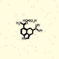 CCCN(CCC)C1Cc2c[nH]c3ccc(C(N)=O)c(c23)C1.O=S(=O)(O)O